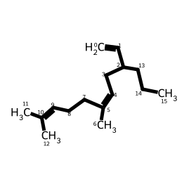 C=CC(CC=C(C)CCC=C(C)C)CCC